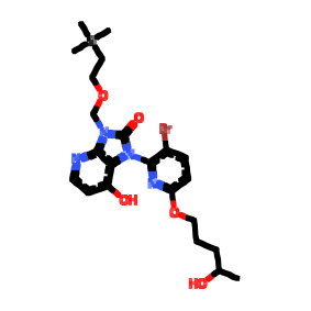 CC(O)CCCOc1ccc(Br)c(-n2c(=O)n(COCC[Si](C)(C)C)c3nccc(O)c32)n1